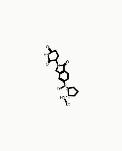 CCN[C@H]1CCC[C@@H]1N(CC)c1ccc2c(c1)CN(C1CCC(=O)NC1=O)C2=O